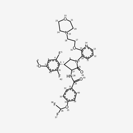 COc1cc(F)c([C@@H]2CN(c3cccnc3OCCN3CCOCC3)C(=O)C2NC(=O)c2ccc(OC(F)F)cc2)c(F)c1